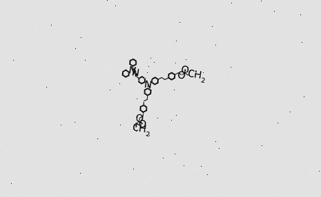 C=CC(=O)OCc1ccc(CCc2ccc(N(c3ccc(C=NN(c4ccccc4)c4ccccc4)cc3)c3ccc(CCc4ccc(COC(=O)C=C)cc4)cc3)cc2)cc1